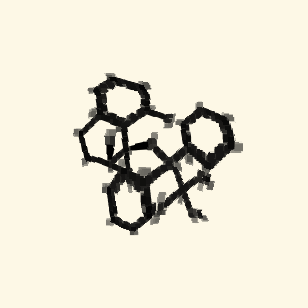 CC(C)(C)[Si](O[C@@]12O[C@@H]1CCc1cccc(Cl)c12)(c1ccccc1)c1ccccc1